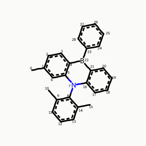 Cc1ccc2c(c1)N(c1c(C)cccc1C)c1ccccc1B2c1ccccc1